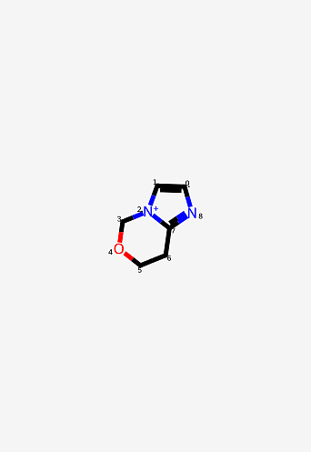 [C]1=C[N+]2COCCC2=N1